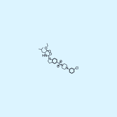 CCOC(=O)C(CC(C)C)NC(=O)N1CCc2cc(S(=O)(=O)N3CCN(c4cccc(Cl)c4)CC3)ccc21